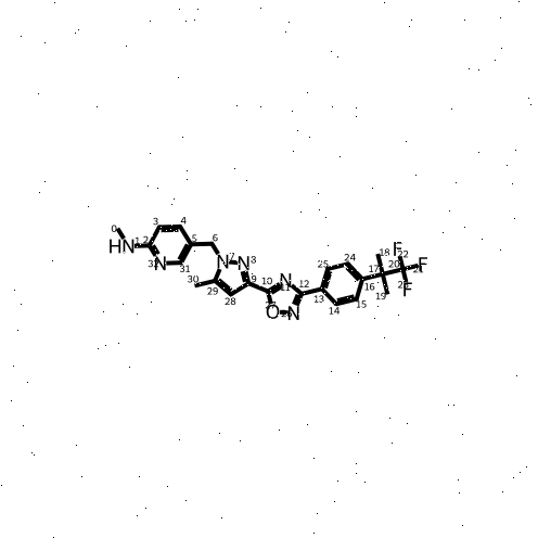 CNc1ccc(Cn2nc(-c3nc(-c4ccc(C(C)(C)C(F)(F)F)cc4)no3)cc2C)cn1